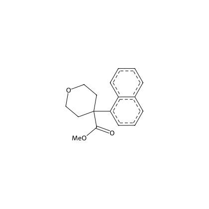 COC(=O)C1(c2cccc3ccccc23)CCOCC1